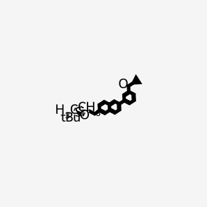 CC(C)(C)[Si](C)(C)OCCc1ccc2cc(-c3cccc(C(=O)C4CC4)c3)ccc2c1